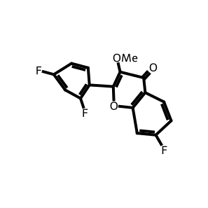 COc1c(-c2ccc(F)cc2F)oc2cc(F)ccc2c1=O